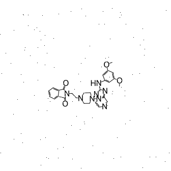 COc1cc(NC2=N[N+]3(N4CCN(CCN5C(=O)c6ccccc6C5=O)CC4)C=CN=CC3=N2)cc(OC)c1